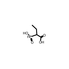 CCC(C(=O)O)[PH](=O)O